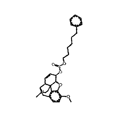 COc1ccc2c3c1OC1C(OS(=O)OCCCCCCc4ccccc4)C=CC4C(C2)N(C)CCC341